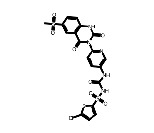 CS(=O)(=O)c1ccc2[nH]c(=O)n(-c3ccc(NC(=O)NS(=O)(=O)c4ccc(Cl)s4)cn3)c(=O)c2c1